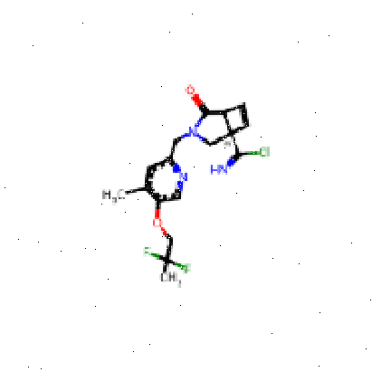 Cc1cc(CN2C[C@@]3(C(=N)Cl)C=CC3C2=O)ncc1OCC(C)(F)F